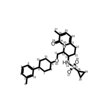 Cc1cccc(C2CCC(OCC3C(NS(=O)(=O)C4CC4)CCc4ccc(C)c(=O)n43)CC2)c1